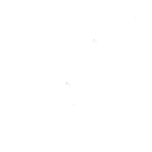 Cc1c(Cl)cc(C(=O)NCC2C3CN(CC4CCOCC4)CC23)c2c1CCC(C)(C)O2